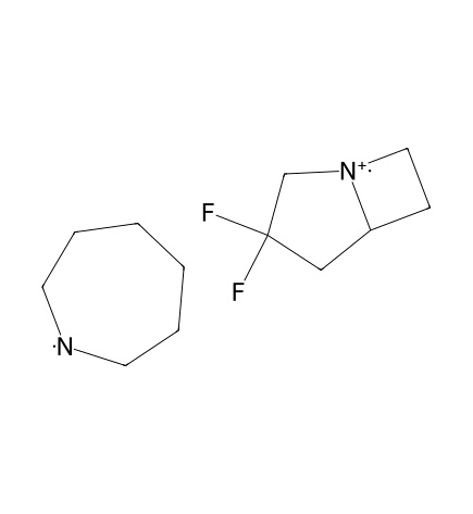 C1CCC[N]CC1.FC1(F)CC2CC[N+]2C1